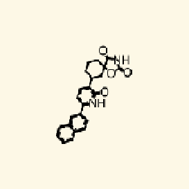 O=C1NC(=O)C2(CCCC(c3ccc(-c4ccc5ccccc5c4)[nH]c3=O)C2)O1